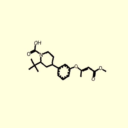 COC(=O)/C=C(\C)Oc1cccc(C2CCN(C(=O)O)C(C(C)(C)C)C2)c1